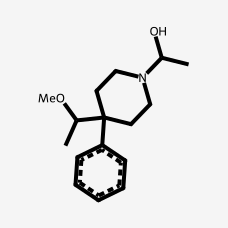 COC(C)C1(c2ccccc2)CCN(C(C)O)CC1